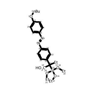 CCCCOc1ccc(N=Nc2ccc(C(CC)(C(=O)O)[Si](OCC)(OCC)OCC)cc2)cc1